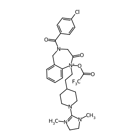 CN1CC[N+](C)=C1N1CCC(CC[N+]2(OC(=O)C(F)(F)F)C(=O)CN(C(=O)c3ccc(Cl)cc3)Cc3ccccc32)CC1